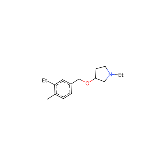 CCc1cc(COC2CCN(CC)C2)ccc1C